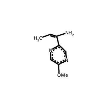 C/C=C(/N)c1cnc(OC)cn1